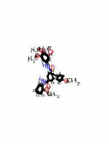 COc1ccc(CC2(C(=O)Nc3cc(OC)c(OC)c(OC)c3)C=CC(C(=O)Nc3ccccc3OC)=CC2)cc1